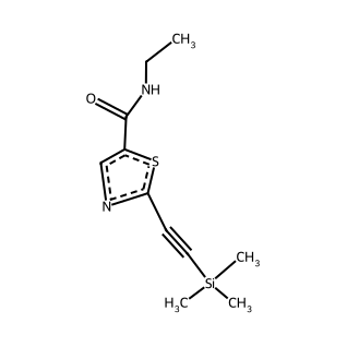 CCNC(=O)c1cnc(C#C[Si](C)(C)C)s1